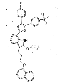 CS(=O)(=O)c1ccc(-c2sc(-c3cccc4c(CCCOc5cccc6ccccc56)c(OC(=O)O)[nH]c34)cc2-c2ccc(F)cc2)cc1